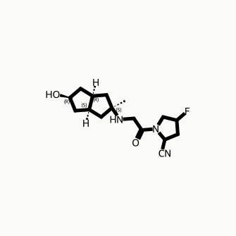 C[C@]1(NCC(=O)N2CC(F)CC2C#N)C[C@H]2C[C@@H](O)C[C@H]2C1